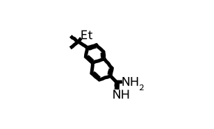 CCC(C)(C)c1ccc2cc(C(=N)N)ccc2c1